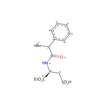 CCCCC(C(=O)N[C@@H](CS(=O)(=O)O)C(=O)OCC)c1ccccc1